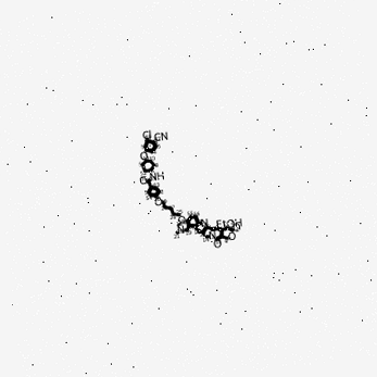 CC[C@@]1(O)C(=O)OCc2c1cc1n(c2=O)Cc2cc3c(CN(C)C)c(OCCCCCOc4ccc(C(=O)N[C@H]5CC[C@H](Oc6ccc(C#N)c(Cl)c6)CC5)cc4)ccc3nc2-1